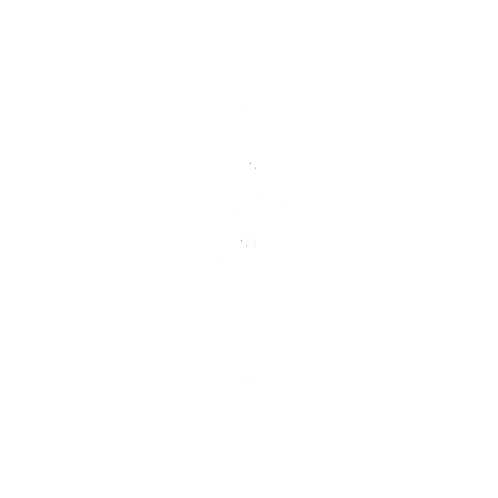 COc1ccc(CNC(=O)C(=O)NCC(C)=O)cc1